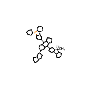 CC1(C)c2ccccc2-c2ccc(-c3c4ccccc4c(-c4ccc5c(c4)c4c(p5-c5ccccc5)C=CCC4)c4ccc(-c5ccc6ccccc6c5)cc34)cc21